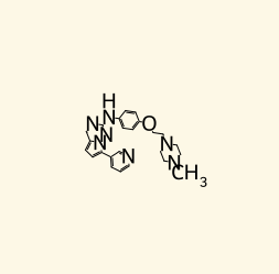 CN1CCN(CCOc2ccc(Nc3ncc4ccc(-c5cccnc5)n4n3)cc2)CC1